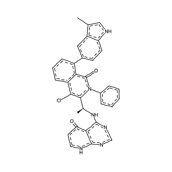 Cc1c[nH]c2ccc(-c3cccc4c(Cl)c([C@H](C)Nc5ncnc6[nH]ccc(=O)c56)n(-c5ccccc5)c(=O)c34)cc12